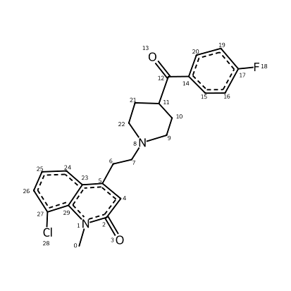 Cn1c(=O)cc(CCN2CCC(C(=O)c3ccc(F)cc3)CC2)c2cccc(Cl)c21